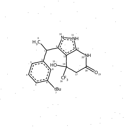 CC(c1cccc(C(C)(C)C)c1)c1n[nH]c2c1C(O)(C(F)(F)F)CC(=O)N2